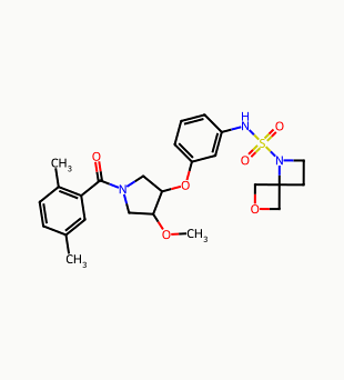 COC1CN(C(=O)c2cc(C)ccc2C)CC1Oc1cccc(NS(=O)(=O)N2CCC23COC3)c1